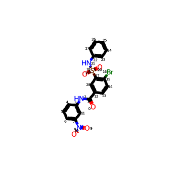 O=C(Nc1cccc([N+](=O)[O-])c1)c1ccc(Br)c(S(=O)(=O)Nc2ccccc2)c1